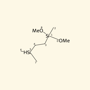 CO[Si](C)(CC[SiH](C)C)OC